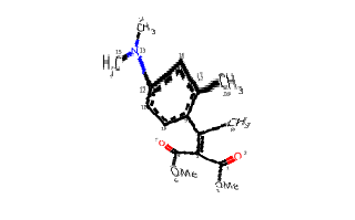 COC(=O)C(C(=O)OC)=C(C)c1ccc(N(C)C)cc1C